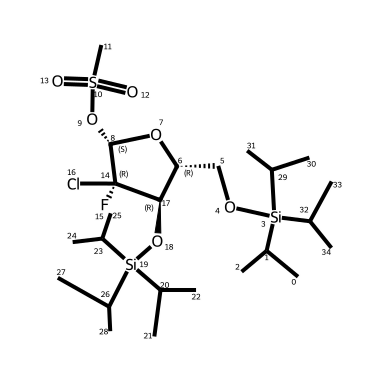 CC(C)[Si](OC[C@H]1O[C@@H](OS(C)(=O)=O)[C@](F)(Cl)[C@@H]1O[Si](C(C)C)(C(C)C)C(C)C)(C(C)C)C(C)C